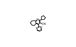 N#Cc1c(C2CCCC2)nc2c(c1-c1ncccn1)CCCCC2